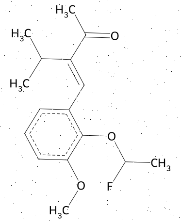 COc1cccc(/C=C(/C(C)=O)C(C)C)c1OC(C)F